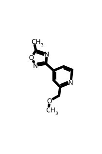 COCc1cc(-c2noc(C)n2)ccn1